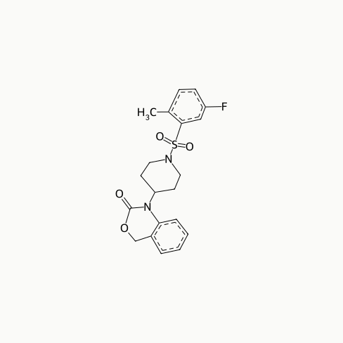 Cc1ccc(F)cc1S(=O)(=O)N1CCC(N2C(=O)OCc3ccccc32)CC1